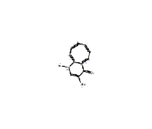 CC(C)(C)c1cn(C(C)(C)C)c2/c(c1=O)=C\C=C/C=C\C=2